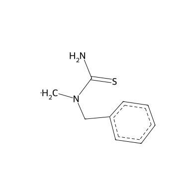 [CH2]N(Cc1ccccc1)C(N)=S